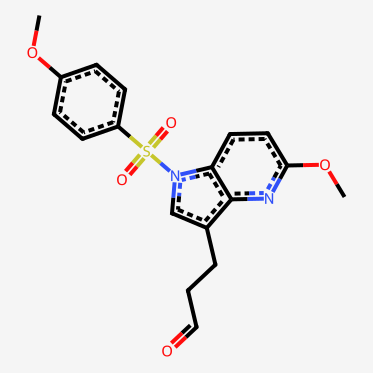 COc1ccc(S(=O)(=O)n2cc(CCC=O)c3nc(OC)ccc32)cc1